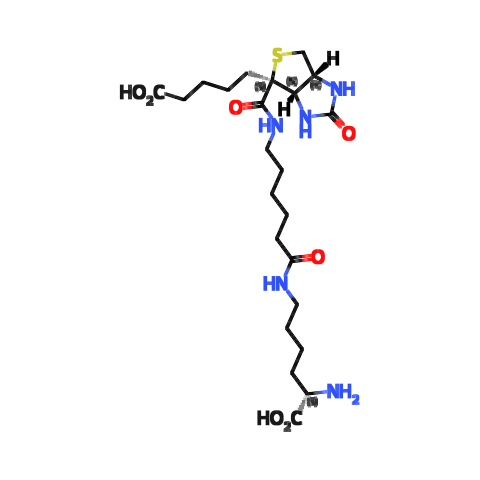 N[C@@H](CCCCNC(=O)CCCCCNC(=O)[C@@]1(CCCCC(=O)O)SC[C@@H]2NC(=O)N[C@@H]21)C(=O)O